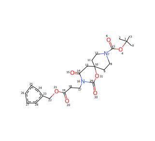 CC(C)(C)OC(=O)N1CCC2(CC1)CC(=O)N(CCC(=O)OCc1ccccc1)C(=O)O2